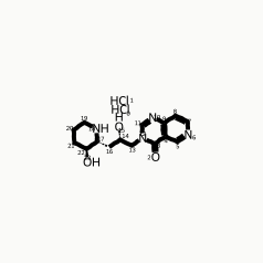 Cl.Cl.O=c1c2cnccc2ncn1C[C@@H](O)C[C@H]1NCCC[C@@H]1O